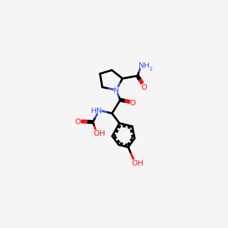 NC(=O)C1CCCN1C(=O)C(NC(=O)O)c1ccc(O)cc1